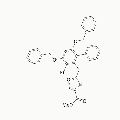 CCc1c(OCc2ccccc2)cc(OCc2ccccc2)c(-c2ccccc2)c1Cc1nc(C(=O)OC)co1